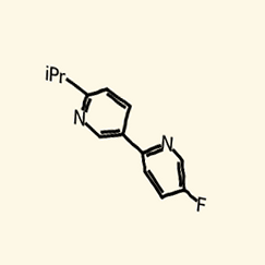 CC(C)c1ccc(-c2ccc(F)cn2)cn1